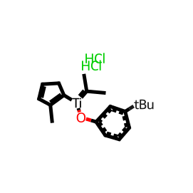 CC1=[C]([Ti]([O]c2cccc(C(C)(C)C)c2)=[C](C)C)CC=C1.Cl.Cl